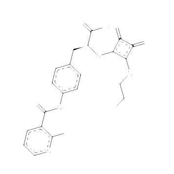 CCCNc1c(N[C@@H](Cc2ccc(NC(=O)c3cccnc3Cl)cc2)C(=O)O)c(=O)c1=O